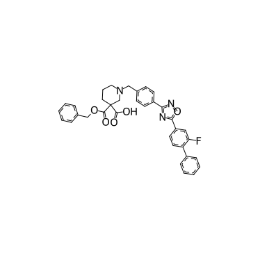 O=C(O)C1(C(=O)OCc2ccccc2)CCCN(Cc2ccc(-c3noc(-c4ccc(-c5ccccc5)c(F)c4)n3)cc2)C1